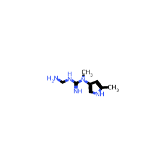 Cc1cc(N(C)C(=N)NCN)c[nH]1